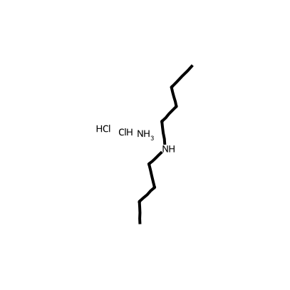 CCCCNCCCC.Cl.Cl.N